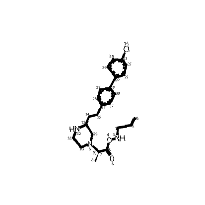 CCCNOC(=O)[C@@H](C)N1CCNC(CCc2ccc(-c3ccc(Cl)cc3)cc2)C1